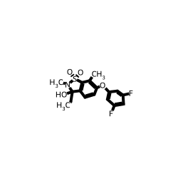 CCC1(O)c2ccc(Oc3cc(F)cc(F)c3)c(C)c2S(=O)(=O)N1C